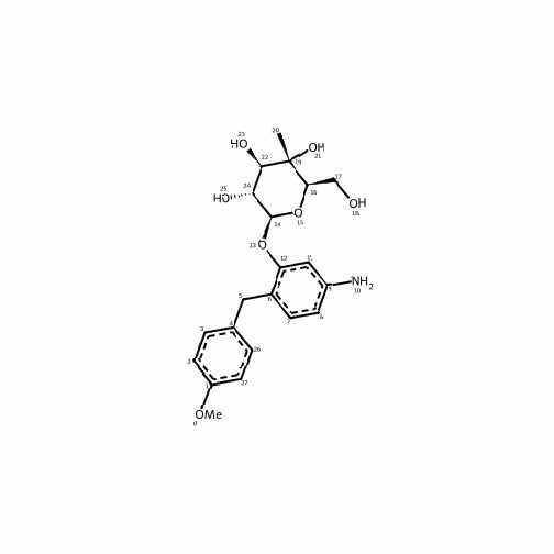 COc1ccc(Cc2ccc(N)cc2O[C@@H]2O[C@H](CO)[C@@](C)(O)[C@H](O)[C@H]2O)cc1